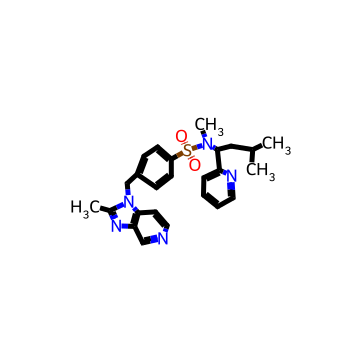 Cc1nc2cnccc2n1Cc1ccc(S(=O)(=O)N(C)C(CC(C)C)c2ccccn2)cc1